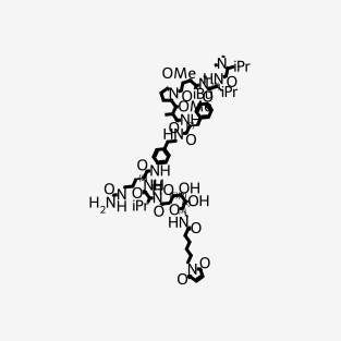 CCC(C)C(C(CC(=O)N1CCCC1C(OC)C(C)C(=O)N[C@@H](Cc1ccccc1)C(=O)NCCc1ccc(NC(=O)[C@H](CCCNC(N)=O)NC(=O)C(NC(=O)C2O[C@@H](CNC(=O)CCCCCN3C(=O)C=CC3=O)[C@H](O)[C@@H](O)[C@@H]2O)C(C)C)cc1)OC)N(C)C(=O)[C@@H](NC(=O)C(C(C)C)N(C)C)C(C)C